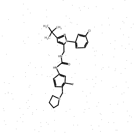 CC(C)(C)c1cc(CNC(=O)Nc2ccc(CN3CCCC3)c(F)c2)n(-c2cccc(Cl)c2)n1